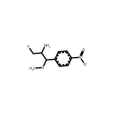 COC(c1ccc([N+](=O)[O-])cc1)C(N)CF